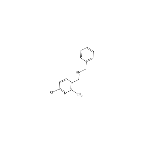 Cc1nc(Cl)ccc1CNCc1ccccc1